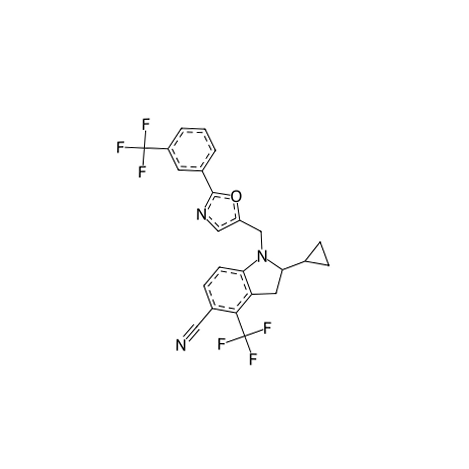 N#Cc1ccc2c(c1C(F)(F)F)CC(C1CC1)N2Cc1cnc(-c2cccc(C(F)(F)F)c2)o1